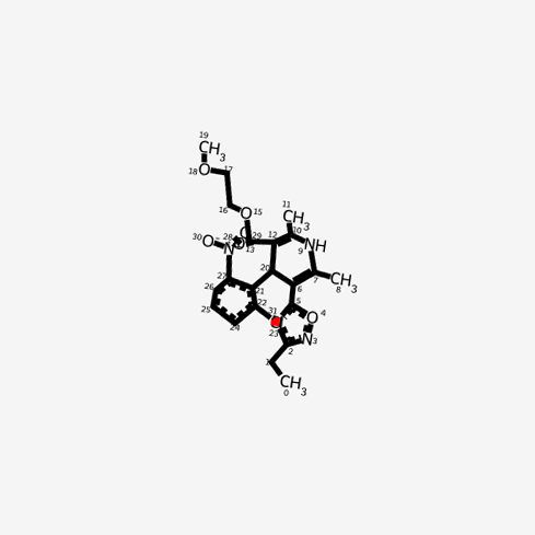 CCc1noc(C2=C(C)NC(C)=C(C(=O)OCCOC)C2c2c(Cl)cccc2[N+](=O)[O-])n1